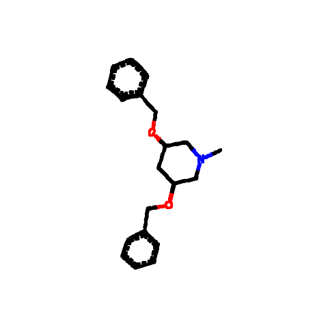 CN1CC(OCc2ccccc2)CC(OCc2ccccc2)C1